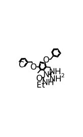 CCNC(=O)N(C(=N)N)c1c(C)c(OCc2ccccc2)cc(OCc2ccccc2)c1C